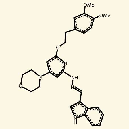 COc1ccc(CCOc2cc(N3CCOCC3)cc(NN=Cc3c[nH]c4ccccc34)n2)cc1OC